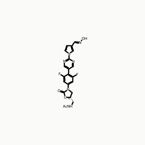 CC(=O)NC[C@H]1CN(c2cc(F)c(-c3cnc(-n4ccc(C=NO)c4)nc3)c(F)c2)C(=O)O1